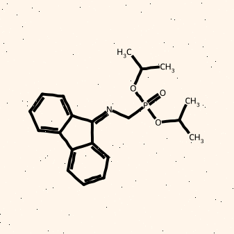 CC(C)OP(=O)(CN=C1c2ccccc2-c2ccccc21)OC(C)C